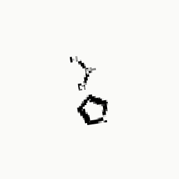 CCNCC.c1ccoc1